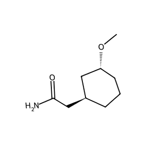 CO[C@@H]1CCC[C@@H](CC(N)=O)C1